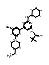 N#Cc1cc(-c2ccnc(NC3CCCCC3)c2)nc(N2CCC(CN)CC2)c1.O=C(O)C(F)(F)F